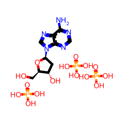 Nc1ncnc2c1ncn2[C@H]1C[C@H](O)[C@@H](CO)O1.O=P(O)(O)O.O=P(O)(O)O.O=P(O)(O)O